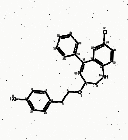 Oc1ccc(CCOC2CNc3ccc(Cl)cc3C(c3ccccc3)=N2)cc1